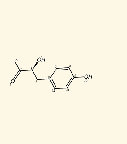 CC(=O)[C@@H](O)Cc1ccc(O)cc1